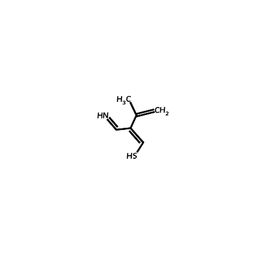 C=C(C)/C(C=N)=C/S